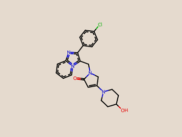 O=C1C=C(N2CCC(O)CC2)CN1Cc1c(-c2ccc(Cl)cc2)nc2ccccn12